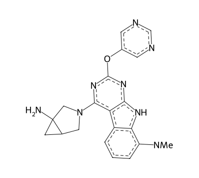 CNc1cccc2c1[nH]c1nc(Oc3cncnc3)nc(N3CC4CC4(N)C3)c12